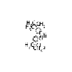 CC(C)(C)c1ccc2c(c1)[CH]c1ccc(C(C)(C)C)cc1-2.[Cl][Ti][Cl]